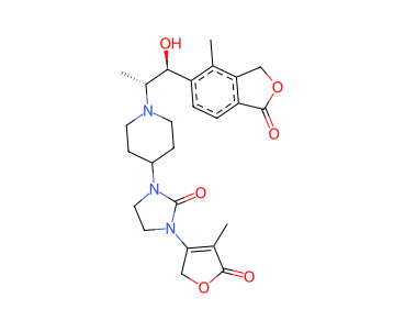 CC1=C(N2CCN(C3CCN([C@H](C)[C@@H](O)c4ccc5c(c4C)COC5=O)CC3)C2=O)COC1=O